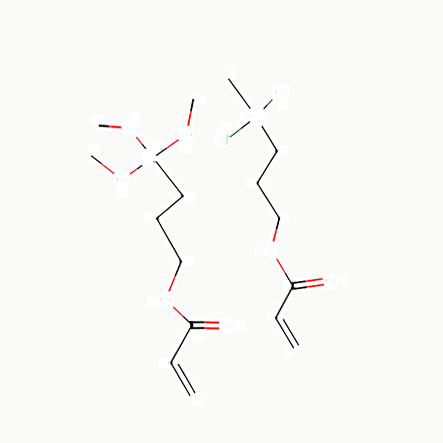 C=CC(=O)OCCC[Si](C)(Cl)Cl.C=CC(=O)OCCC[Si](OC)(OC)OC